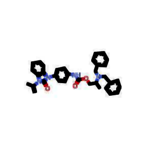 C=C(C)n1c(=O)n(-c2ccc(NC(=O)OCC(C)N(Cc3ccccc3)Cc3ccccc3)cc2)c2ccccc21